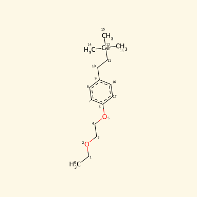 CCOCCOc1ccc(C[CH2][Ge]([CH3])([CH3])[CH3])cc1